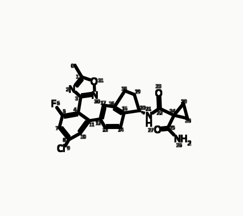 Cc1nc(-c2c(F)cc(Cl)cc2-c2ccc3c(c2)CC[C@@H]3NC(=O)C2(C(N)=O)CC2)no1